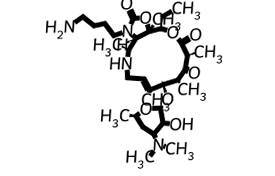 CC[C@H]1OC(=O)[C@H](C)C(=O)[C@H](C)[C@@H](O[C@@H]2O[C@H](C)CC(N(C)C)C2O)/C(C)=C/CN[C@H](C)[C@H]2N(CCCCN)C(=O)O[C@]12C